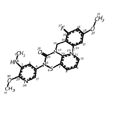 CNc1cc(N2Sc3cccnc3N(Cc3c(F)cc(OC)cc3F)C2=O)cnc1OC